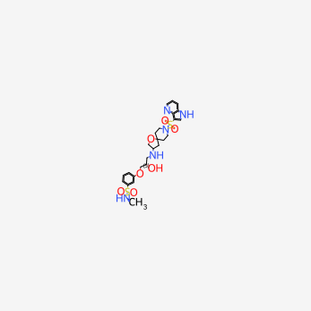 CNS(=O)(=O)c1cccc(OC[C@@H](O)CNC2COC3(CCN(S(=O)(=O)c4c[nH]c5cccnc45)CC3)C2)c1